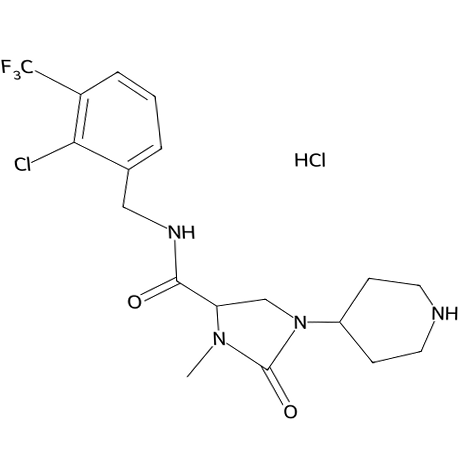 CN1C(=O)N(C2CCNCC2)CC1C(=O)NCc1cccc(C(F)(F)F)c1Cl.Cl